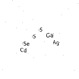 [Ag].[Cd].[Ga].[S].[S].[Se]